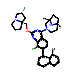 CCc1cccc2cccc(-c3ccc4c(N5CC[C@H]6CC[C@@H](C5)N6)nc(OC[C@@]56CCCN5C[C@H](F)C6)nc4c3F)c12